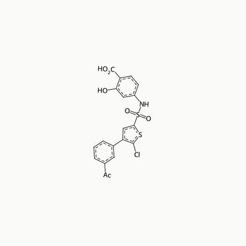 CC(=O)c1cccc(-c2cc(S(=O)(=O)Nc3ccc(C(=O)O)c(O)c3)sc2Cl)c1